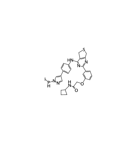 O=C(COc1cccc(-c2nc3c(c(Nc4ccc(-c5cnn(PI)c5)cc4)n2)CSC3)c1)NC1CCC1